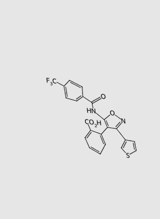 O=C(Nc1onc(-c2ccsc2)c1-c1ccccc1C(=O)O)c1ccc(C(F)(F)F)cc1